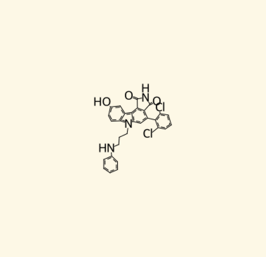 O=C1NC(=O)c2c1c(-c1c(Cl)cccc1Cl)cc1c2c2cc(O)ccc2n1CCCNc1ccccc1